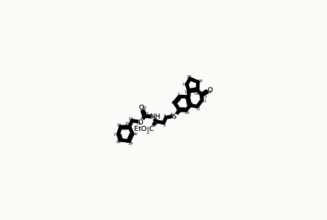 CCOC(=O)C(CCSc1ccc2c(c1)CCC(=O)C1=C2CCC1)NC(=O)OCc1ccccc1